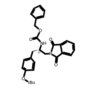 CC(C)(C)Oc1ccc(C[C@@H](CN2C(=O)c3ccccc3C2=O)NC(=O)OCc2ccccc2)cc1